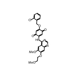 COCCOc1cc2ncnc(NC3=CC(=O)C(OCc4ccccc4Cl)=CC3=O)c2cc1OC